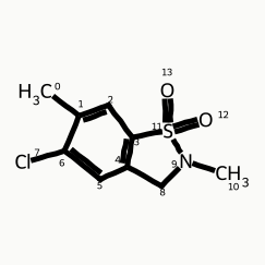 Cc1cc2c(cc1Cl)CN(C)S2(=O)=O